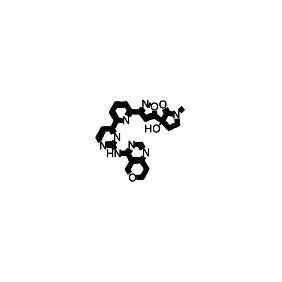 CN1CC[C@@](O)(c2cc(-c3cccc(-c4ccnc(Nc5ncnc6c5COCC6)n4)n3)no2)C1=O